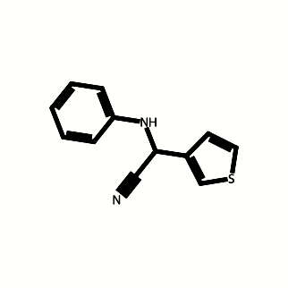 N#CC(Nc1ccccc1)c1ccsc1